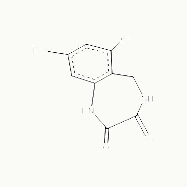 O=C1NCc2c(cc(C(F)(F)F)cc2C(F)(F)F)NC1=O